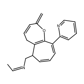 C=C1C=CCC2=C(O1)C(c1ccccn1)=CC=CC2C/N=C\C